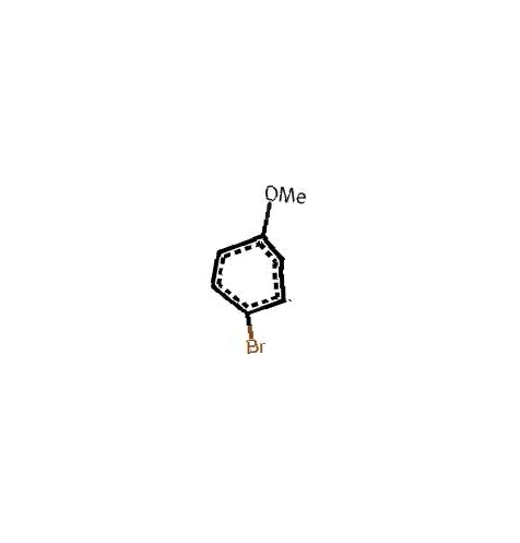 COc1c[c]c(Br)cc1